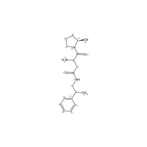 CC(CNC(=O)CC(N)C(=O)N1CCC[C@H]1C#N)c1ccccc1